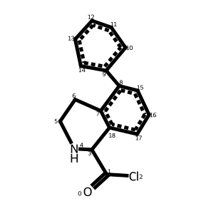 O=C(Cl)C1NCCc2c(-c3ccccc3)cccc21